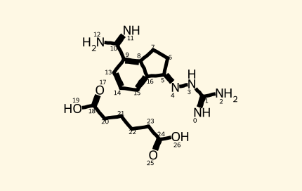 N=C(N)NN=C1CCc2c(C(=N)N)cccc21.O=C(O)CCCCC(=O)O